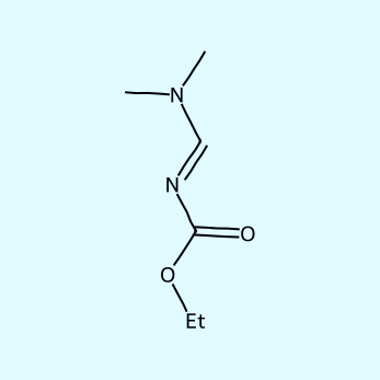 CCOC(=O)N=CN(C)C